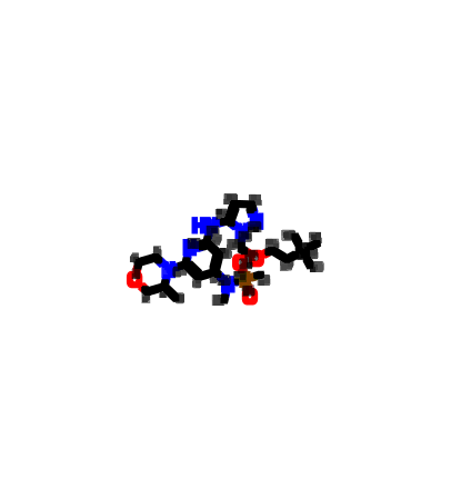 CC1COCCN1c1cc(N(C)S(C)(=O)=O)cc(Nc2ccnn2COCC[Si](C)(C)C)n1